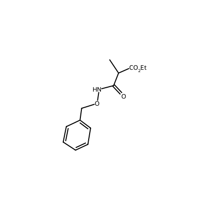 CCOC(=O)C(C)C(=O)NOCc1ccccc1